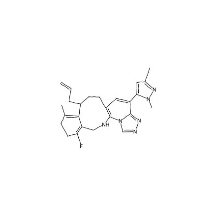 C=CCC1CCc2cc(-c3cc(C)nn3C)c3nncn3c2NCC2=C(F)CCC(C)=C21